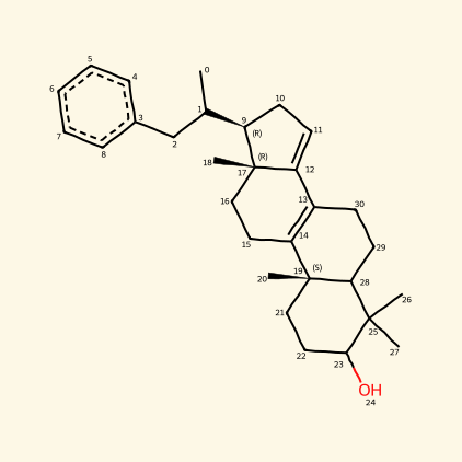 CC(Cc1ccccc1)[C@H]1CC=C2C3=C(CC[C@@]21C)[C@@]1(C)CCC(O)C(C)(C)C1CC3